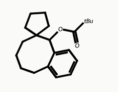 CC(C)(C)C(=O)OC1c2ccccc2CCCCC12CCCC2